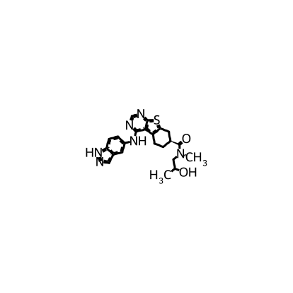 CC(O)CN(C)C(=O)[C@H]1CCc2c(sc3ncnc(Nc4ccc5[nH]ncc5c4)c23)C1